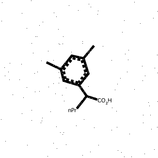 CCCC(C(=O)O)c1cc(C)cc(C)c1